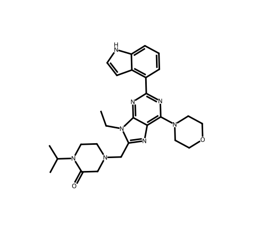 CCn1c(CN2CCN(C(C)C)C(=O)C2)nc2c(N3CCOCC3)nc(-c3cccc4[nH]ccc34)nc21